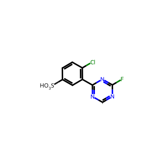 O=S(=O)(O)c1ccc(Cl)c(-c2n[c]nc(F)n2)c1